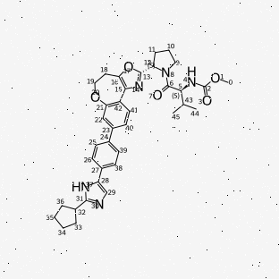 COC(=O)N[C@H](C(=O)N1CCC[C@H]1c1nc2c(o1)CCOc1cc(-c3ccc(-c4cnc(C5CCCC5)[nH]4)cc3)ccc1-2)C(C)C